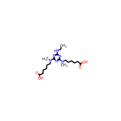 CCNc1nc(N(C)CCCCCC(=O)O)nc(N(C)CCCCCC(=O)O)n1